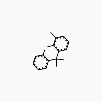 Cc1cccc2c1Sc1ccccc1C2(C)C